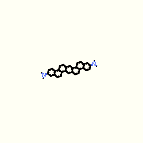 CN(C)c1ccc2c(ccc3c4cc5ccc6c7ccc(N(C)C)cc7ccc6c5cc4ccc23)c1